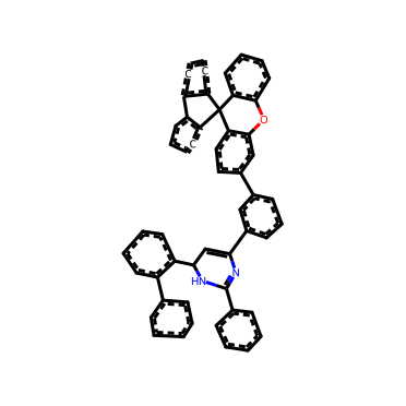 C1=C(c2cccc(-c3ccc4c(c3)Oc3ccccc3C43c4ccccc4-c4ccccc43)c2)N=C(c2ccccc2)NC1c1ccccc1-c1ccccc1